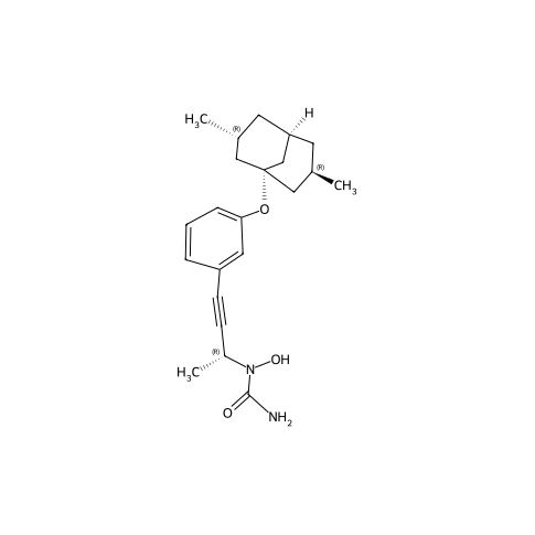 C[C@@H]1C[C@H]2C[C@@H](C)C[C@@](Oc3cccc(C#C[C@@H](C)N(O)C(N)=O)c3)(C1)C2